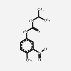 Cc1ccc(NC(=S)NC(C)C)cc1[N+](=O)[O-]